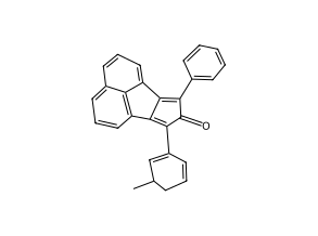 CC1C=C(C2=C3C(=C(c4ccccc4)C2=O)c2cccc4cccc3c24)C=CC1